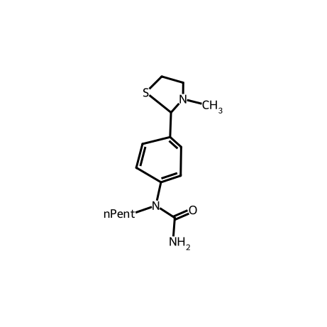 CCCCCN(C(N)=O)c1ccc(C2SCCN2C)cc1